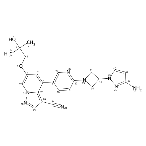 CC(C)(O)COc1cc(-c2ccc(N3CC(n4ccc(N)n4)C3)nc2)c2c(C#N)cnn2c1